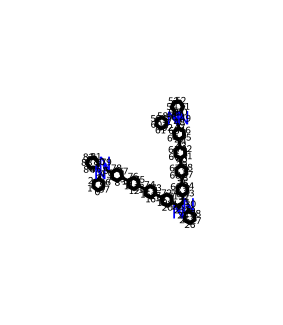 c1ccc(-n2c(-c3ccc(-c4ccc(-c5ccc(-c6ccc(-c7nc8ccccc8nc7-c7ccc(-c8ccc(-c9ccc(-c%10ccc(-c%11nc%12ccccc%12n%11-c%11ccccc%11)cc%10)cc9)cc8)cc7)cc6)cc5)cc4)cc3)nc3ccccc32)cc1